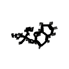 CCC(C)CC(C)(N)OC1=CC=C2CC=CC=C2O1